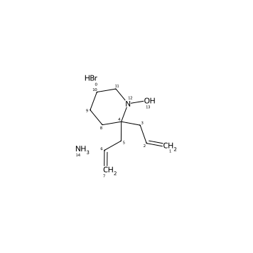 Br.C=CCC1(CC=C)CCCCN1O.N